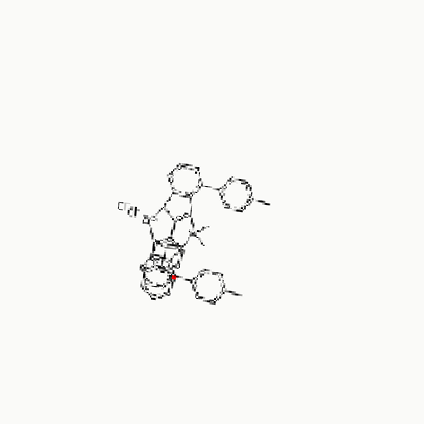 Cc1ccc(-c2cccc3c2C2=C(c4ccccc4)[CH]3[Zr+2][CH]3C(c4ccccc4)=C(c4c(-c5ccc(C)cc5)cccc43)[Si]2(C)C)cc1.[Cl-].[Cl-]